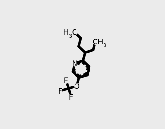 CCCC(CC)c1ccc(OC(F)(F)F)cn1